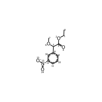 CCOC(=O)C(OC)c1cccc([N+](=O)[O-])c1